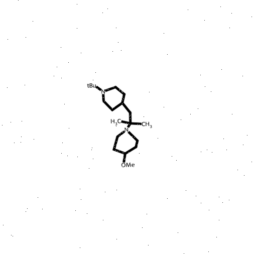 COC1CCN(C(C)(C)CC2CCN(C(C)(C)C)CC2)CC1